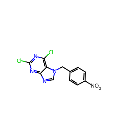 O=[N+]([O-])c1ccc(Cn2cnc3nc(Cl)nc(Cl)c32)cc1